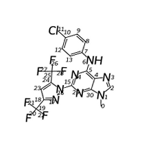 Cn1cnc2c(Nc3ccc(Cl)cc3)nc(-n3nc(C(F)(F)F)cc3C(F)(F)F)nc21